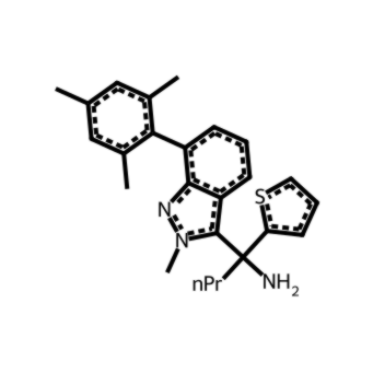 CCCC(N)(c1cccs1)c1c2cccc(-c3c(C)cc(C)cc3C)c2nn1C